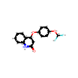 O=c1cc(Oc2ccc(OC(F)F)cc2)c2ccccc2[nH]1